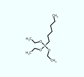 C[CH]CCCC[Si](OCC)(OCC)OCC